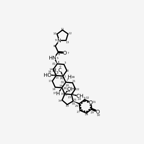 C[C@]12CC[C@H](NC(=O)CN3CCCC3)C[C@@]1(O)CC[C@@H]1[C@@H]2CC[C@]2(C)[C@@H](c3ccc(=O)oc3)CC[C@]12O